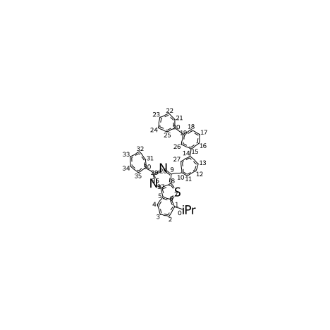 CC(C)c1cccc2c1sc1c(-c3cccc(-c4cccc(-c5ccccc5)c4)c3)nc(-c3ccccc3)nc12